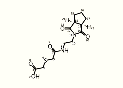 O=C(O)CSCC(=O)NCCN1C(=O)[C@H]2CCC[C@H]2C1=O